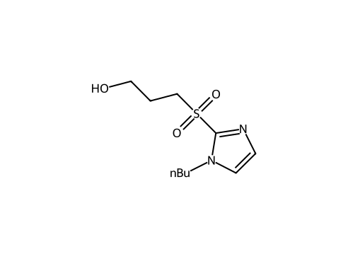 CCCCn1ccnc1S(=O)(=O)CCCO